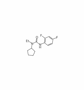 CCN(C(=O)Nc1ccc(F)cc1F)C1CCCC1